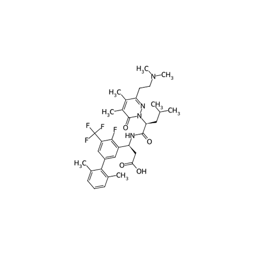 Cc1cccc(C)c1-c1cc([C@H](CC(=O)O)NC(=O)[C@H](CC(C)C)n2nc(CCN(C)C)c(C)c(C)c2=O)c(F)c(C(F)(F)F)c1